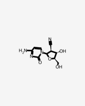 N#C[C@@H]1C(n2ccc(N)nc2=O)O[C@H](CO)[C@H]1O